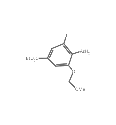 CCOC(=O)c1cc(I)c([AsH2])c(OCOC)c1